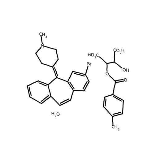 CN1CCC(=C2c3ccccc3C=Cc3ccc(Br)cc32)CC1.Cc1ccc(C(=O)OC(C(=O)O)C(O)C(=O)O)cc1.O